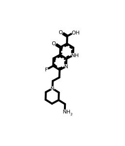 NCC1CCCN(CCc2nc3[nH]cc(C(=O)O)c(=O)c3cc2F)C1